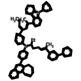 C=C/C=C(\C=C(/C)c1cccc2c1c1ccccc1n2-c1ccccc1)c1cccc(N(c2ccc(-c3cc4ccccc4c4c3CC=CC=C4)cc2)C(CC)CC/C=C(\C)c2cccc(-c3ccccc3)c2)c1